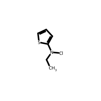 CCN(Cl)c1cccs1